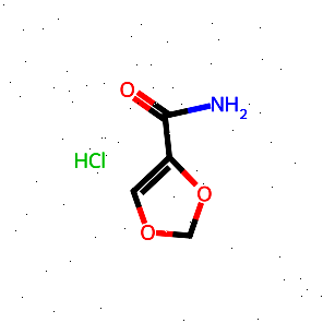 Cl.NC(=O)C1=COCO1